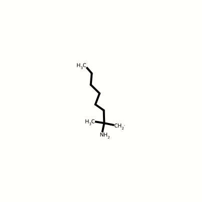 [CH2]C(C)(N)CCCCCC